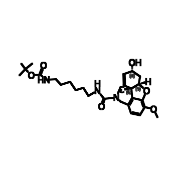 COc1ccc2c3c1O[C@H]1C[C@@H](O)C=C[C@@]31CCN(C(=O)NCCCCCCNC(=O)OC(C)(C)C)C2